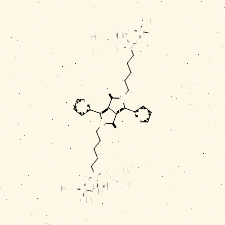 C[Si](C)(C)O[Si](C)(CCCCCN1C(=O)C2=C(c3cccs3)N(CCCCC[Si](C)(O[Si](C)(C)C)O[Si](C)(C)C)C(=O)C2=C1c1cccs1)O[Si](C)(C)C